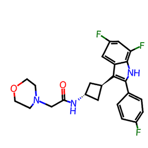 O=C(CN1CCOCC1)N[C@H]1C[C@H](c2c(-c3ccc(F)cc3)[nH]c3c(F)cc(F)cc32)C1